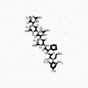 CC(C)(C)CCN(c1c([N+](=O)[O-])cc(C#N)cc1[N+](=O)[O-])C(O)C(=O)NC(C(=O)NC(NC(=N)N)C(=O)NC(NC(=N)N)C(=O)NC(NC(=N)N)C(=O)NC(NC(=N)N)C(N)=O)c1ccccc1